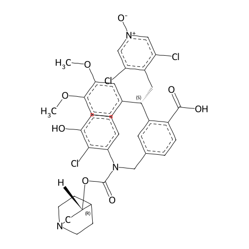 COc1ccc([C@H](Cc2c(Cl)c[n+]([O-])cc2Cl)c2cc(CN(C(=O)O[C@H]3CN4CCC3CC4)c3cccc(O)c3Cl)ccc2C(=O)O)cc1OC